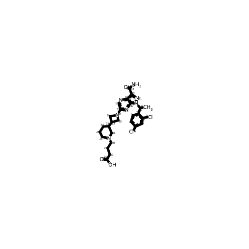 CC(c1ccc(Cl)cc1Cl)n1nc(C(N)=O)c2ncc(N3CC(C4CCCN(CCCC(=O)O)C4)C3)nc21